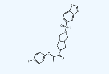 CC(Oc1ccc(F)cc1)C(=O)N1CC2=C(C1)CN(S(=O)(=O)c1ccc3occc3c1)C2